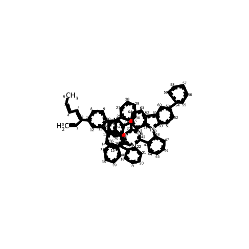 C=C/C(=C\C=C/C)c1ccc2c(c1)c1ccc(-c3ccccc3)cc1n2-c1ccccc1-c1nc(-c2ccccc2)nc(-c2ccccc2-n2c3ccc(-c4ccccc4)cc3c3ccc(-c4ccccc4)cc32)n1